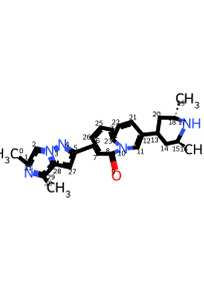 Cc1cn2nc(C3=C\C(=O)N4C=C(C5C[C@H](C)N[C@@H](C)C5)C=C\C4=C/C=C/3)cc2c(C)n1